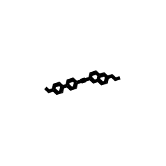 CCCc1ccc2cc(C#Cc3ccc(-c4ccc(CC)cc4)cc3)ccc2c1